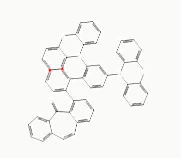 O=c1c2ccccc2ccc2cccc(-c3ccccc3-c3ccc(N4c5ccccc5Sc5ccccc54)cc3N3c4ccccc4Sc4ccccc43)c12